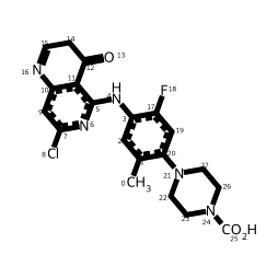 Cc1cc(Nc2nc(Cl)cc3c2C(=O)CC=N3)c(F)cc1N1CCN(C(=O)O)CC1